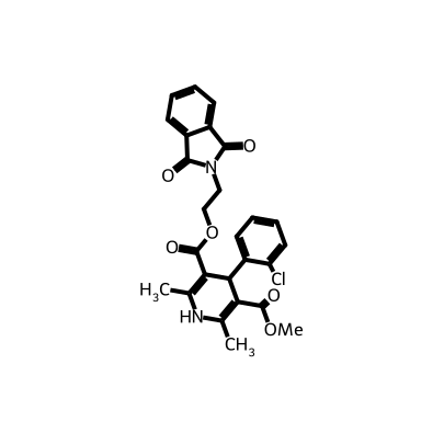 COC(=O)C1=C(C)NC(C)=C(C(=O)OCCN2C(=O)c3ccccc3C2=O)C1c1ccccc1Cl